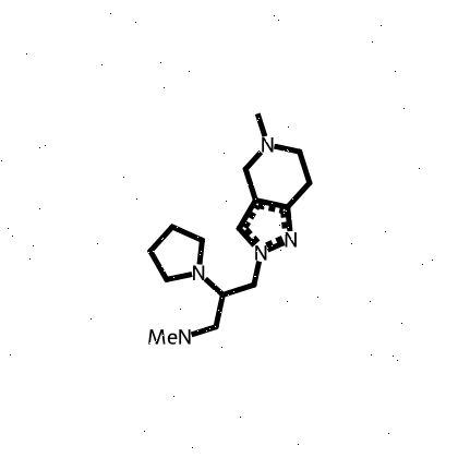 CNCC(Cn1cc2c(n1)CCN(C)C2)N1CCCC1